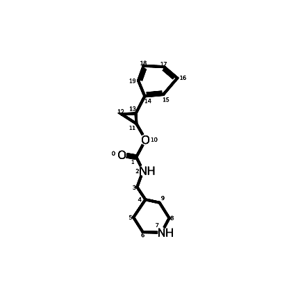 O=C(NCC1CCNCC1)OC1CC1c1ccccc1